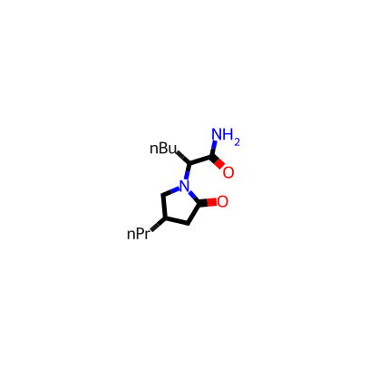 CCCCC(C(N)=O)N1CC(CCC)CC1=O